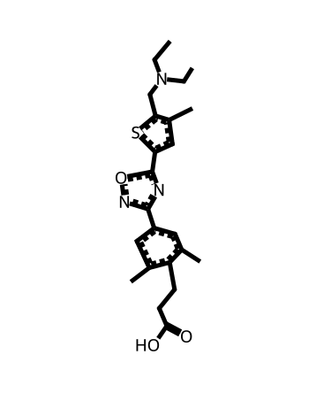 CCN(CC)Cc1sc(-c2nc(-c3cc(C)c(CCC(=O)O)c(C)c3)no2)cc1C